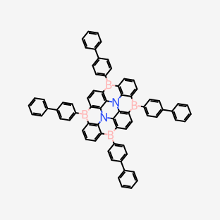 c1ccc(-c2ccc(B3c4cccc5c4N4c6c3ccc3c6N6c7c(cccc7B(c7ccc(-c8ccccc8)cc7)c7ccc(c4c76)B5c4ccc(-c5ccccc5)cc4)B3c3ccc(-c4ccccc4)cc3)cc2)cc1